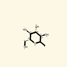 C[C]1O[C@H](CO)[C@@H](O)[C@H](O)[C@H]1O